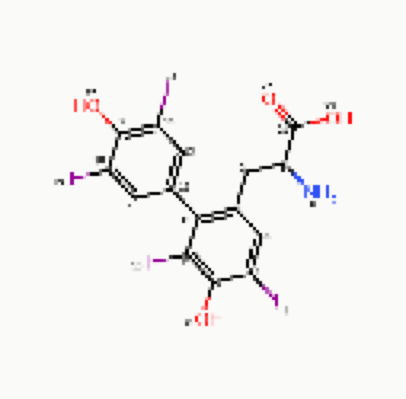 N[C@@H](Cc1cc(I)c(O)c(I)c1-c1cc(I)c(O)c(I)c1)C(=O)O